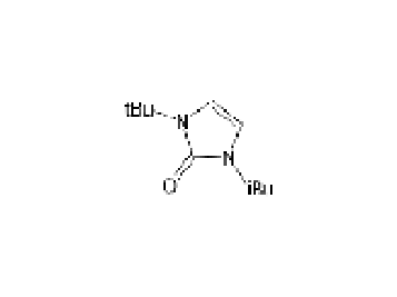 CCC(C)n1ccn(C(C)(C)C)c1=O